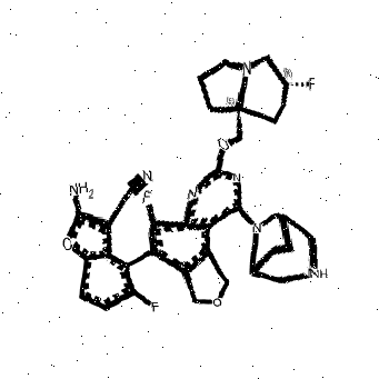 N#Cc1c(N)oc2ccc(F)c(-c3c4c(c5c(N6C7CNCC6C7)nc(OC[C@@]67CCCN6C[C@H](F)C7)nc5c3F)COC4)c12